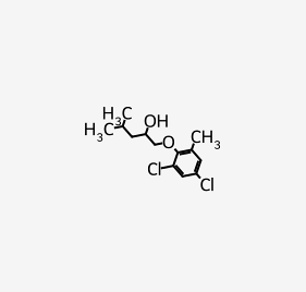 Cc1cc(Cl)cc(Cl)c1OCC(O)CC(C)C